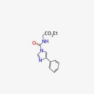 CCOC(=O)CNC(=O)n1cnc(-c2ccccc2)c1